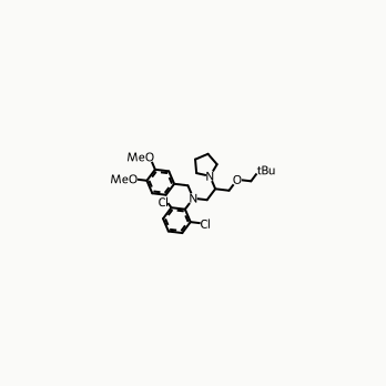 COc1ccc(CN(CC(COCC(C)(C)C)N2CCCC2)c2c(Cl)cccc2Cl)cc1OC